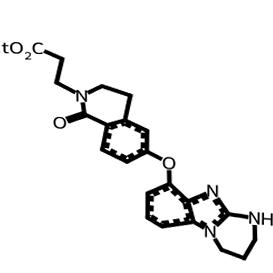 CCOC(=O)CCN1CCc2cc(Oc3cccc4c3nc3n4CCCN3)ccc2C1=O